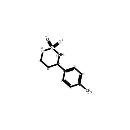 O=S1(=O)NC(c2ccc(C(F)(F)F)cc2)CCO1